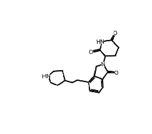 O=C1CCC(N2Cc3c(CCC4CCNCC4)cccc3C2=O)C(=O)N1